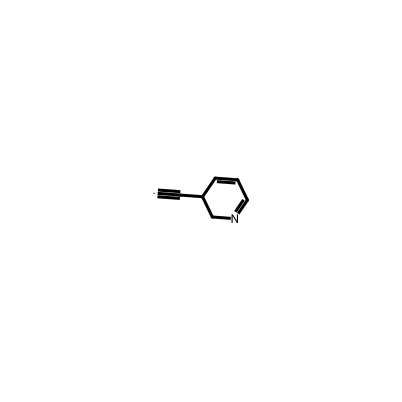 [C]#CC1C=CC=NC1